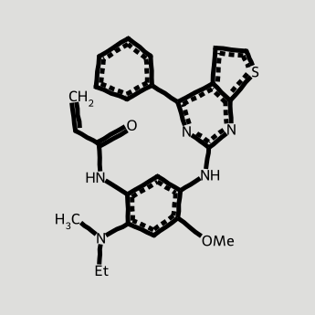 C=CC(=O)Nc1cc(Nc2nc(-c3ccccc3)c3ccsc3n2)c(OC)cc1N(C)CC